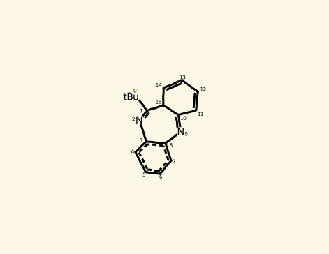 CC(C)(C)C1=Nc2ccccc2N=C2C=CC=CC21